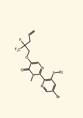 C=CCC(F)(COc1cnc(-c2ncc(Br)cc2SCC)n(C)c1=O)C(F)(F)F